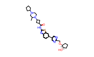 CC1CN(C2CCCC2)CCN1C1CC(C(=O)Nc2nc3ccc(-c4cnc(CO[C@H]5CCC[C@@H]5O)nc4)cc3s2)C1